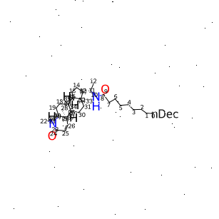 CCCCCCCCCCCCCCCCCC(=O)NC(C)[C@H]1CC[C@H]2[C@@H]3CC[C@H]4N(C)C(=O)C=C[C@]4(C)[C@H]3CC[C@]12C